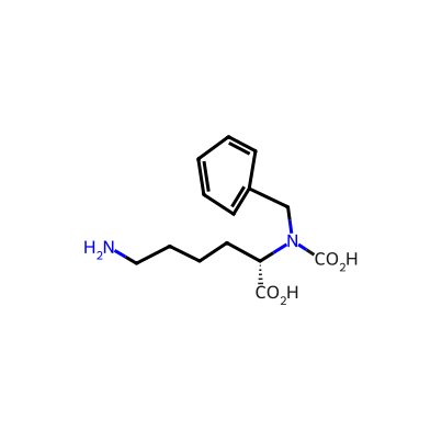 NCCCC[C@@H](C(=O)O)N(Cc1ccccc1)C(=O)O